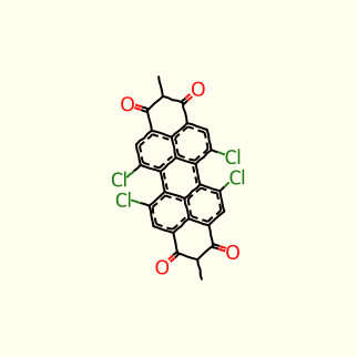 CC1C(=O)c2cc(Cl)c3c4c(Cl)cc5c6c(cc(Cl)c(c7c(Cl)cc(c2c37)C1=O)c64)C(=O)C(C)C5=O